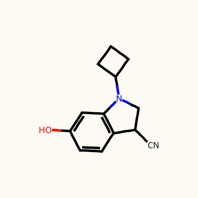 N#CC1CN(C2CCC2)c2cc(O)ccc21